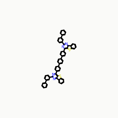 c1ccc(-c2cccc(-c3nc(-c4ccc(-c5ccc(-c6ccc(-c7nc(-c8cccc(-c9ccccc9)c8)nc8c7sc7ccccc78)cc6)cc5)cc4)c4sc5ccccc5c4n3)c2)cc1